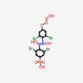 O=S(=O)(O)c1cc(Br)c(N(O)N(O)c2c(Br)cc(SOOO)cc2Br)c(Br)c1